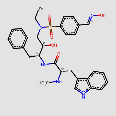 CC(C)CN(C[C@@H](O)[C@H](Cc1ccccc1)NC(=O)[C@H](Cc1c[nH]c2ccccc12)NC(=O)O)S(=O)(=O)c1ccc(/C=N/O)cc1